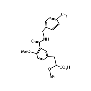 CCCOC(Cc1ccc(OC)c(C(=O)NCc2ccc(C(F)(F)F)cc2)c1)C(=O)O